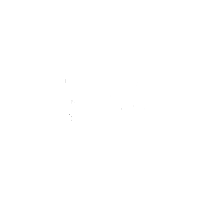 Cc1ccnn1CCCCC(Cl)Br